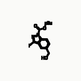 CCCCOC(=O)n1nc(I)c2cc(CO)ccc21